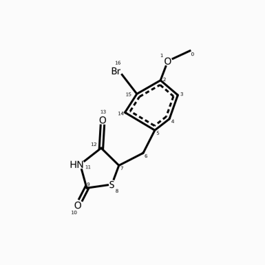 COc1ccc(CC2SC(=O)NC2=O)cc1Br